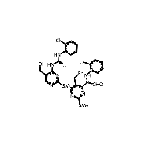 CSc1ncc(CBr)c(N(C=O)Nc2ccccc2Cl)n1.CSc1ncc(CO)c(NC(=O)Nc2ccccc2Cl)n1